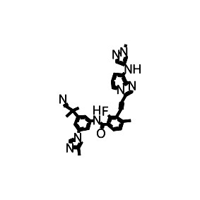 Cc1cn(-c2cc(NC(=O)c3ccc(C)c(C#Cc4cnc5c(Nc6cnn(C)c6)cccn45)c3F)cc(C(C)(C)C#N)c2)cn1